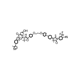 Cc1ncsc1-c1ccc(CNC(=O)[C@@H]2C[C@@H](O)CN2C(=O)C(NC(=O)c2ccc(OCCCOc3ccc(-c4ccc(N5C(=S)N(c6ccc(C#N)c(C(F)(F)F)c6)C(=O)C5(C)C)cc4)cc3)cc2)C(C)(C)C)cc1